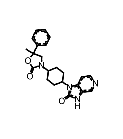 CC1(c2ccccc2)CN(C2CCC(n3c(=O)[nH]c4cnccc43)CC2)C(=O)O1